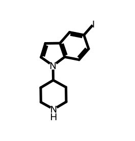 Ic1ccc2c(ccn2C2CCNCC2)c1